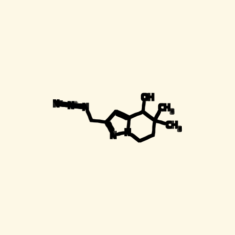 CC1(C)CCn2nc(CN=[N+]=[N-])cc2C1O